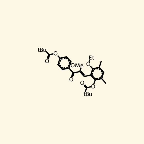 CCOc1c(C)cc(C)c(OC(=O)C(C)(C)C)c1C=C(OC)C(=O)c1ccc(OC(=O)C(C)(C)C)cc1